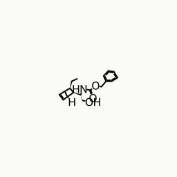 CC[C@@H]1C2C=C[C@@H]2[C@@H]1[C@@H](CO)NC(=O)OCc1ccccc1